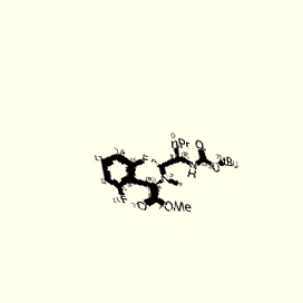 CCC[C@H](CN(C)[C@@H](C(=O)OC)c1c(F)cccc1F)NC(=O)OC(C)(C)C